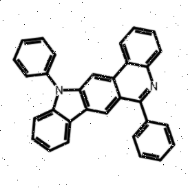 c1ccc(-c2nc3ccccc3c3cc4c(cc23)c2ccccc2n4-c2ccccc2)cc1